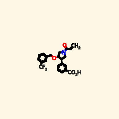 C=CC(=O)N1C[C@@H](OCc2cccc(C(F)(F)F)c2)[C@H](c2cccc(C(=O)O)c2)C1